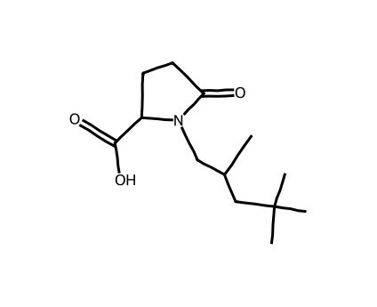 CC(CN1C(=O)CCC1C(=O)O)CC(C)(C)C